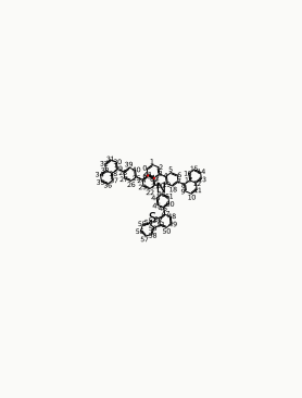 c1ccc(-c2ccc(-c3cccc4ccccc34)cc2N(c2ccc(-c3ccc(-c4cccc5ccccc45)cc3)cc2)c2ccc(-c3cccc4c3sc3ccccc34)cc2)cc1